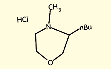 CCCCC1COCCN1C.Cl